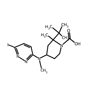 CN(c1ccc(I)nn1)C1CCN(C(=O)O)C(C)(C(C)(C)C)C1